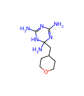 NC1=NC(N)(CC2CCOCC2)NC(N)=N1